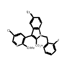 CCc1ccc2c(c1)c(-c1cc(Cl)cnc1OC)c(C(=O)O)n2Cc1ccccc1F